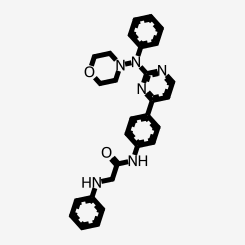 O=C(CNc1ccccc1)Nc1ccc(-c2ccnc(N(c3ccccc3)N3CCOCC3)n2)cc1